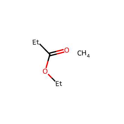 C.CCOC(=O)CC